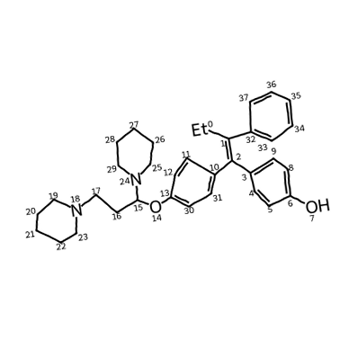 CCC(=C(c1ccc(O)cc1)c1ccc(OC(CCN2CCCCC2)N2CCCCC2)cc1)c1ccccc1